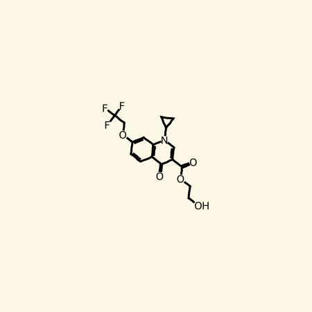 O=C(OCCO)c1cn(C2CC2)c2cc(OCC(F)(F)F)ccc2c1=O